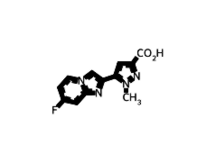 Cn1nc(C(=O)O)cc1-c1cn2ccc(F)cc2n1